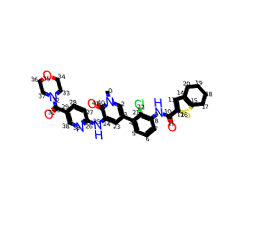 Cn1cc(-c2cccc(NC(=O)c3cc4c(s3)CCCC4)c2Cl)cc(Nc2ccc(C(=O)N3CCOCC3)cn2)c1=O